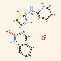 Br.O=c1[nH]c2ccccc2cc1-c1csc(Nc2ccccn2)n1